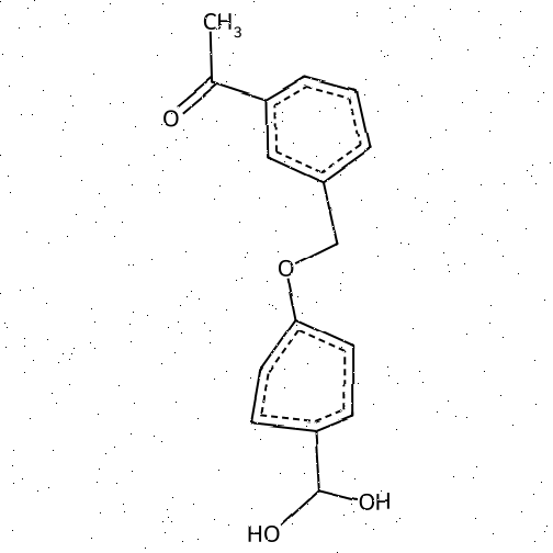 CC(=O)c1cccc(COc2ccc(C(O)O)cc2)c1